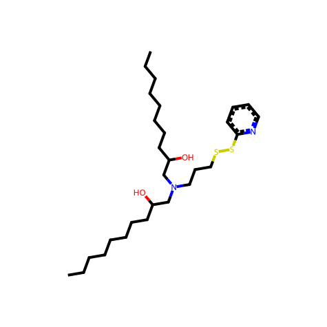 CCCCCCCCC(O)CN(CCCSSc1ccccn1)CC(O)CCCCCCCC